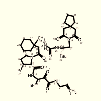 C=CCNC(=O)C(=O)C(CCC)NC(=O)[C@@H]1[C@@H](C(C)C)CCN1C(=O)[C@@H](NC(=O)N[C@H](CN1C(=O)CC2(CCCC2)CC1=O)C(C)(C)C)C1(C)CCCCC1